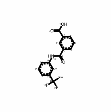 O=C(O)c1cccc(C(=O)Nc2cccc(C(F)(F)F)c2)c1